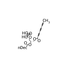 CC#CC#CC#CC(=O)OC[C@@H](COP(=O)(O)O)OC(=O)CCCCCCCCCC